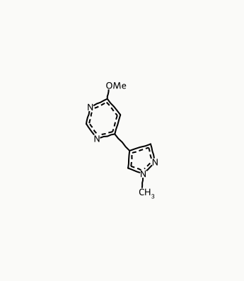 COc1cc(-c2cnn(C)c2)ncn1